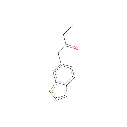 CCC(=O)Cc1ccc2ccsc2c1